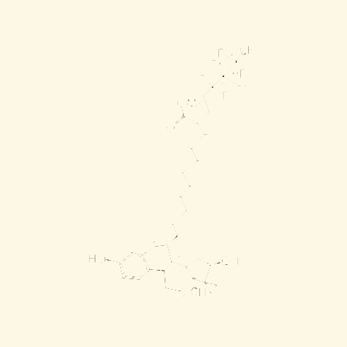 COC(=O)C(CCCCCCCCC[C@@H]1Cc2cc(O)ccc2C2CC[C@@]3(C)C(C[C@@H](O)C34CC4)C21)CCC(F)(F)C(F)(F)C(F)(F)C(F)(F)F